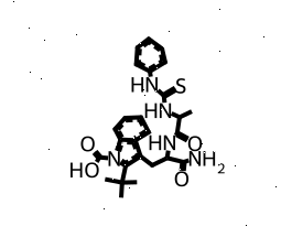 CC(NC(=S)Nc1ccccc1)C(=O)NC(Cc1c(C(C)(C)C)n(C(=O)O)c2ccccc12)C(N)=O